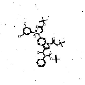 CC(C)(C)OC(=O)CN(c1ccc2c(C(=O)N(C(=O)OC(C)(C)C)c3ccccc3)cn(C(=O)OC(C)(C)C)c2c1)S(=O)(=O)c1cc(Cl)cc(Cl)c1